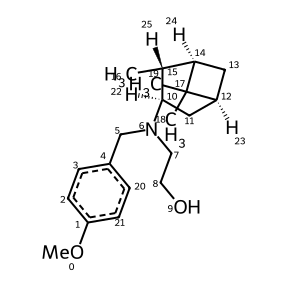 COc1ccc(CN(CCO)[C@@H]2C[C@@H]3C[C@H]([C@H]2C)C3(C)C)cc1